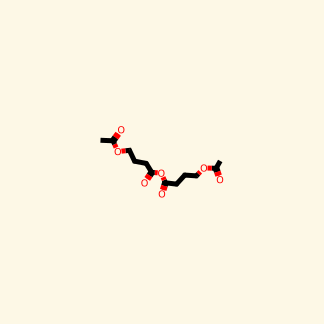 CC(=O)OCCCC(=O)OC(=O)CCCOC(C)=O